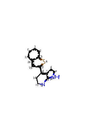 c1ccc2sc(C3=c4cc[nH]c4=NCC3)cc2c1